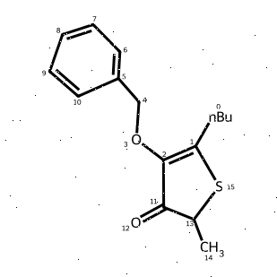 CCCCC1=C(OCc2ccccc2)C(=O)C(C)S1